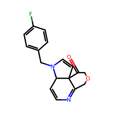 O=C1COCC2=NC=CC3N(Cc4ccc(F)cc4)C=CC123